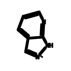 C1=[N+]Nc2ncccc21